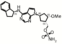 CO[C@H]1C[C@H](n2ccc3c(N[C@H]4CCc5ccccc54)ncnc32)C[C@H]1COS(N)(=O)=O